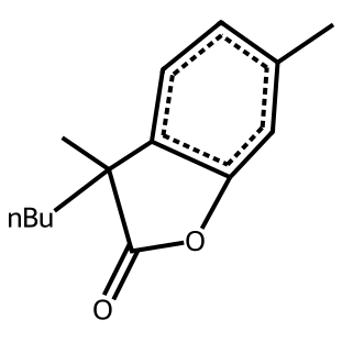 CCCCC1(C)C(=O)Oc2cc(C)ccc21